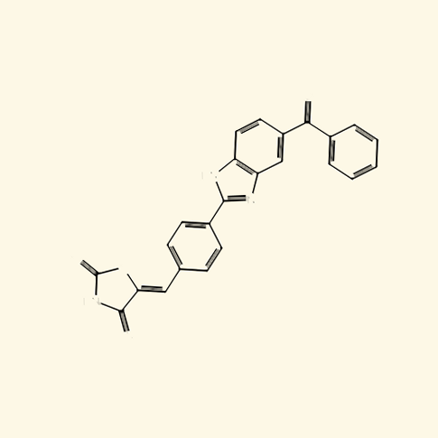 O=C1NC(=O)C(=Cc2ccc(-c3nc4cc(C(=O)c5ccccc5)ccc4[nH]3)cc2)S1